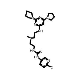 CN(CCNC(=S)Nc1ccc(Cl)nc1)CCNc1cc(N2CCCC2)nc(N2CCCC2)n1